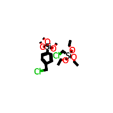 CCO[Si](CCl)(OCC)OCC.CO[Si](OC)(OC)c1ccc(CCl)cc1